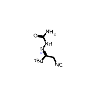 [C-]#[N+]C/C(=N\NC(N)=O)C(C)(C)C